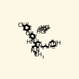 Cc1ncc2c(n1)N(CCCN1CCNCC1)CCC2Nc1cccc(Oc2cccc(Cl)c2)c1.Cl.Cl.Cl.Cl